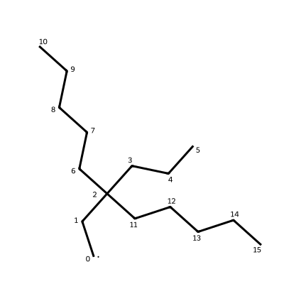 [CH2]CC(CCC)(CCCCC)CCCCC